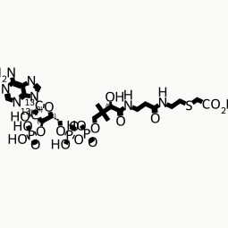 CC(C)(COP(=O)(O)OP(=O)(O)OC[C@H]1O[13C@@H](n2cnc3c(N)ncnc32)[13C@H](O)[C@@H]1OP(=O)(O)O)[C@@H](O)C(=O)NCCC(=O)NCCSCC(=O)O